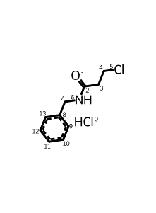 Cl.O=C(CCCl)NCc1ccccc1